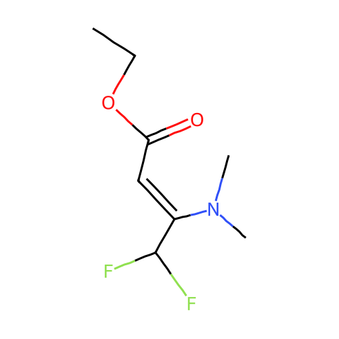 CCOC(=O)C=C(C(F)F)N(C)C